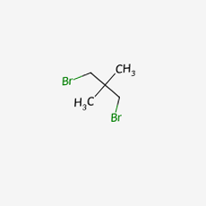 CC(C)(CBr)CBr